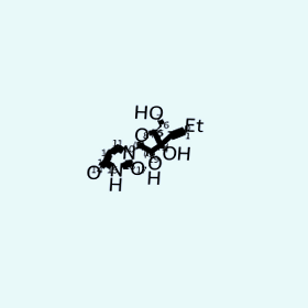 CCC#C[C@@]1(O)[C@@H](CO)O[C@@H](n2ccc(=O)[nH]c2=O)[C@@H]1O